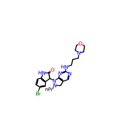 CCCN1Cc2cnc(NCCCN3CCOCC3)nc2N1C1C(=O)Nc2ccc(Br)cc21